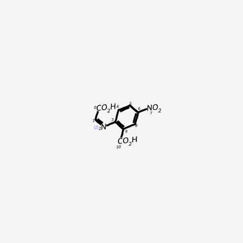 O=C(O)/C=N\c1ccc([N+](=O)[O-])cc1C(=O)O